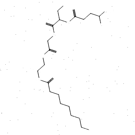 CCCCCCCCCCCCCCCCCC(=O)N[C@@H](COC(=O)CNC(=O)C(CS)NC(=O)CCC(N)C(=O)O)C(=O)O